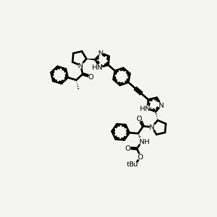 C[C@@H](C(=O)N1CCC[C@H]1c1ncc(-c2ccc(C#Cc3cnc([C@@H]4CCCN4C(=O)[C@H](NC(=O)OC(C)(C)C)c4ccccc4)[nH]3)cc2)[nH]1)c1ccccc1